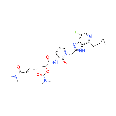 CN(C)C(=O)/C=C/CCC(OC(=O)N(C)C)C(=O)Nc1cccn(Cc2nc3c(F)cnc(CC4CC4)c3[nH]2)c1=O